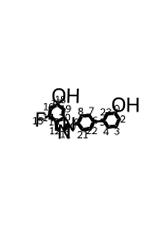 Oc1cccc(-c2ccc(-n3ncc4c(F)cc(O)cc43)cc2)c1